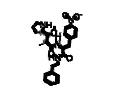 CO[C@@H]([C@@H]1CCCN1)[C@@H](C)C(=O)NC(Cc1ccc([N+](=O)[O-])cc1)C(=O)NCCc1ccccc1